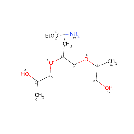 CC(O)COC(C)COC(C)CO.CCOC(N)=O